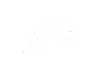 N#Cc1cnc(N2CCN(C(=O)CN3CCCC3c3cc(C(F)(F)F)c(=O)[nH]n3)CC2)c(Cl)c1